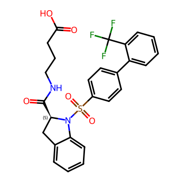 O=C(O)CCCNC(=O)[C@@H]1Cc2ccccc2N1S(=O)(=O)c1ccc(-c2ccccc2C(F)(F)F)cc1